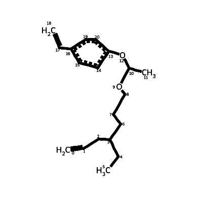 C=CCC(CC)CCCOC(C)Oc1ccc(C=C)cc1